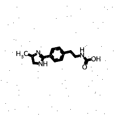 CC1CNC(c2ccc(CCNC(=O)O)cc2)=N1